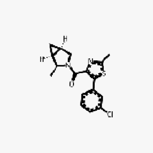 Cc1nc(C(=O)N2C[C@@H]3C[C@@H]3[C@@H]2C)c(-c2cccc(Cl)c2)s1